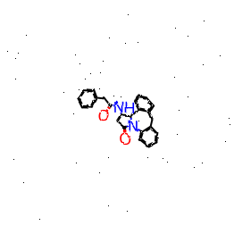 O=C(Cc1ccccc1)NC1CC(=O)N2c3ccccc3Cc3ccccc3C12